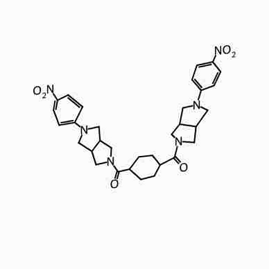 O=C(C1CCC(C(=O)N2CC3CN(c4ccc([N+](=O)[O-])cc4)CC3C2)CC1)N1CC2CN(c3ccc([N+](=O)[O-])cc3)CC2C1